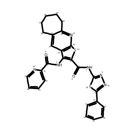 O=C(Nc1c(C(=O)Nc2nnc(-c3ccccc3)s2)sc2nc3c(cc12)CCCCC3)c1ccccn1